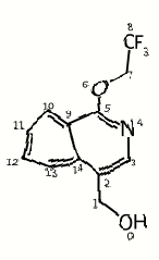 OCc1cnc(OCC(F)(F)F)c2ccccc12